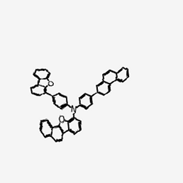 c1ccc2c(c1)ccc1cc(-c3ccc(N(c4ccc(-c5cccc6c5oc5ccccc56)cc4)c4cccc5c4oc4c6ccccc6ccc54)cc3)ccc12